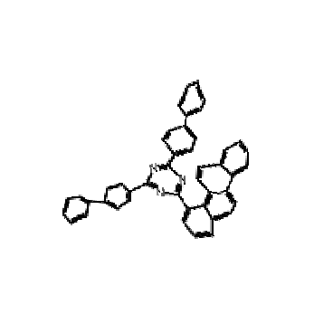 c1ccc(-c2ccc(-c3nc(-c4ccc(-c5ccccc5)cc4)nc(-c4cccc5ccc6c7ccccc7ccc6c45)n3)cc2)cc1